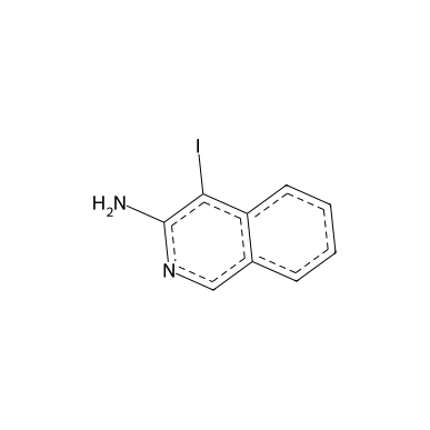 Nc1ncc2ccccc2c1I